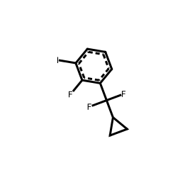 Fc1c(I)cccc1C(F)(F)C1CC1